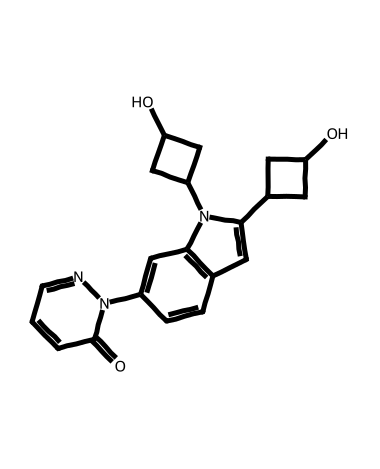 O=c1cccnn1-c1ccc2cc(C3CC(O)C3)n(C3CC(O)C3)c2c1